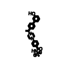 CC(c1ccc(-c2cccc(O)c2)cc1)N1CCN(c2ccc(C(=O)NS(C)(=O)=O)cc2)CC1